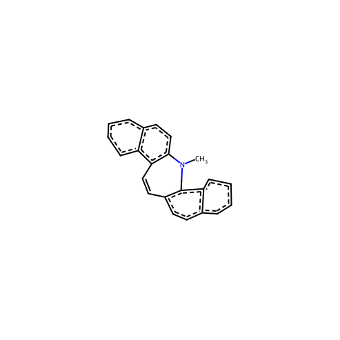 CN1c2ccc3ccccc3c2C=Cc2ccc3ccccc3c21